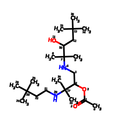 CC(=O)OC(CNC(C)(C)C(O)CC(C)(C)C)C(C)(C)NCCC(C)(C)C